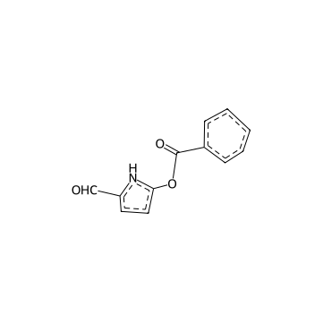 O=Cc1ccc(OC(=O)c2ccccc2)[nH]1